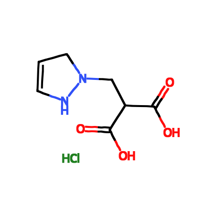 Cl.O=C(O)C(CN1CC=CN1)C(=O)O